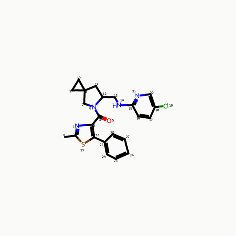 Cc1nc(C(=O)N2CC3(CC3)CC2CNc2ccc(Cl)cn2)c(-c2ccccc2)s1